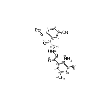 CCSc1ccc(C#N)cc1C(=O)NNOC(=O)c1cc(C(F)(F)F)cc(Br)c1N